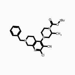 CC1CN(c2c(C#N)c(Cl)nc3c2CCN(Cc2ccccc2)C3)CCN1C(=O)OC(C)(C)C